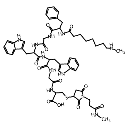 CNCCCCCCCC(=O)NC(Cc1ccccc1)C(=O)NCC(=O)NC(Cc1c[nH]c2ccccc12)C(=O)NC(Cc1c[nH]c2ccccc12)C(=O)NCC(=O)NC(CSC1CC(=O)N(CCC(=O)NC)C1=O)C(=O)O